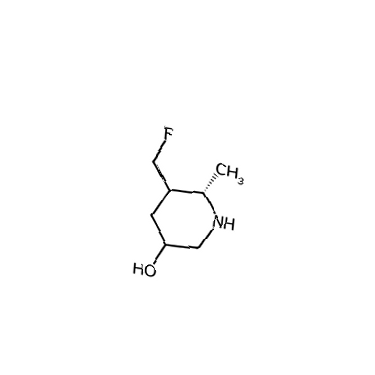 C[C@@H]1NCC(O)CC1CF